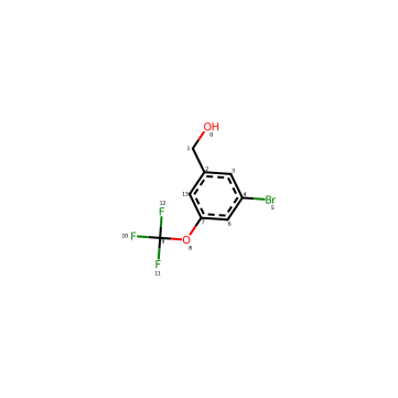 OCc1cc(Br)cc(OC(F)(F)F)c1